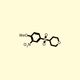 COc1ccc(S(=O)(=O)C2CCOCC2)cc1[N+](=O)[O-]